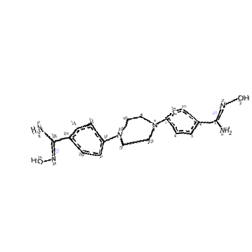 N/C(=N\O)c1ccc(N2CCN(c3ccc(/C(N)=N/O)cc3)CC2)cc1